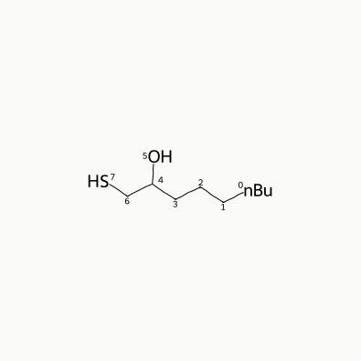 CCCCCCCC(O)CS